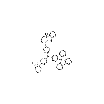 CC1(c2ccc(N(c3ccc(C4=C5Oc6ccccc6C5(C)CC=C4)cc3)c3ccc(C4(c5ccccc5)c5ccccc5-c5ccccc54)cc3)cc2)C=CC=CC1